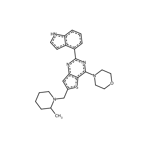 CC1CCCCN1Cc1cc2nc(-c3cccc4[nH]ccc34)nc(N3CCOCC3)c2s1